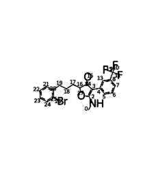 CNC1=C(c2cccc(C(F)(F)F)c2)C(=O)C(CCCc2ccccc2Br)O1